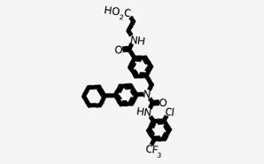 O=C(O)CCNC(=O)c1ccc(CN(C(=O)Nc2cc(C(F)(F)F)ccc2Cl)c2ccc(C3=CCCCC3)cc2)cc1